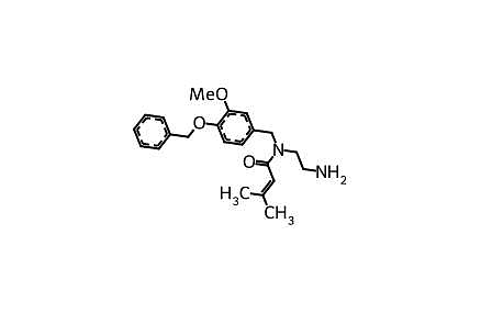 COc1cc(CN(CCN)C(=O)C=C(C)C)ccc1OCc1ccccc1